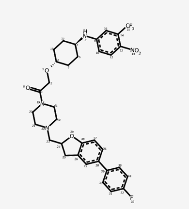 O=C(CO[C@H]1CC[C@H](Nc2ccc([N+](=O)[O-])c(C(F)(F)F)c2)CC1)N1CCN(CC2Cc3cc(-c4ccc(F)cc4)ccc3O2)CC1